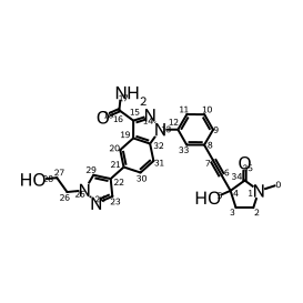 CN1CCC(O)(C#Cc2cccc(-n3nc(C(N)=O)c4cc(-c5cnn(CCO)c5)ccc43)c2)C1=O